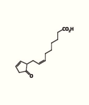 O=C(O)CCCCC/C=C\CC1C=CCC1=O